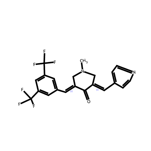 CN1C/C(=C\c2ccncc2)C(=O)/C(=C/c2cc(C(F)(F)F)cc(C(F)(F)F)c2)C1